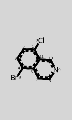 Clc1ccc(Br)c2ccncc12